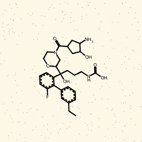 CCc1cccc(-c2c(F)cccc2C(O)(CCCNC(=O)O)C2CN(C(=O)C3CC(N)C(O)C3)CCO2)c1